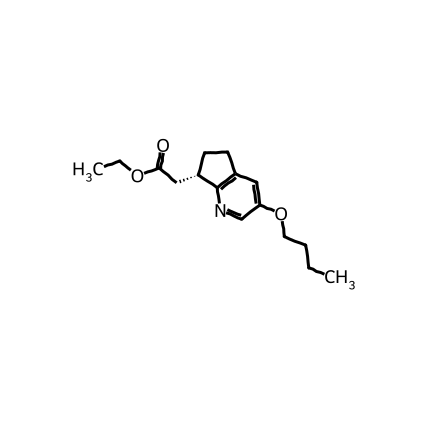 CCCCOc1cnc2c(c1)CC[C@H]2CC(=O)OCC